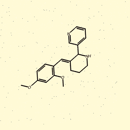 COc1ccc(C=C2CCCNC2c2cccnc2)c(OC)c1